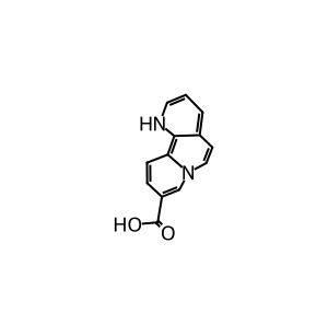 O=C(O)C1=CN2C=CC3=CC=CNC3=C2C=C1